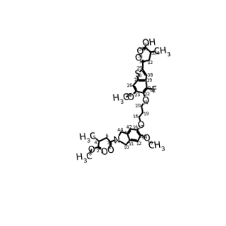 COC(=O)C(C)CC(=O)N1Cc2cc(OC)c(OCCCOc3c(OC)cc4sc(C(=O)CC(C)C(=O)O)cc4c3F)cc2C1